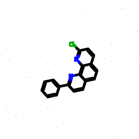 Clc1ccc2ccc3ccc(-c4ccccc4)nc3c2n1